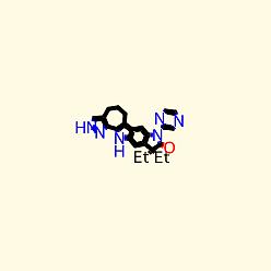 CCC1(CC)C(=O)N(c2cnccn2)c2cc3c4c([nH]c3cc21)-c1n[nH]cc1CCC4